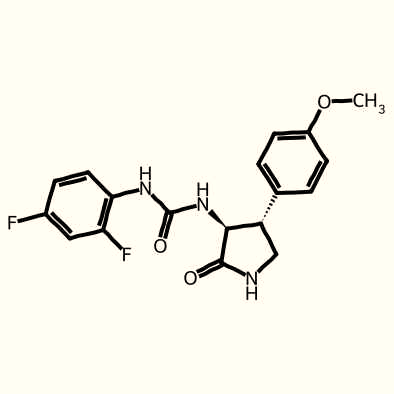 COc1ccc([C@@H]2CNC(=O)[C@H]2NC(=O)Nc2ccc(F)cc2F)cc1